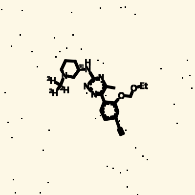 [2H]C([2H])([2H])N1CCC[C@@H](Nc2nnc(-c3ccc(C#C)cc3OCOCC)c(C)n2)C1